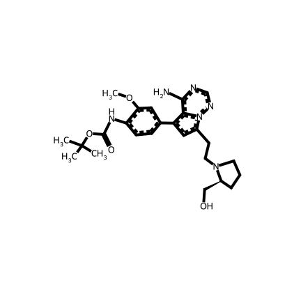 COc1cc(-c2cc(CCN3CCC[C@H]3CO)n3ncnc(N)c23)ccc1NC(=O)OC(C)(C)C